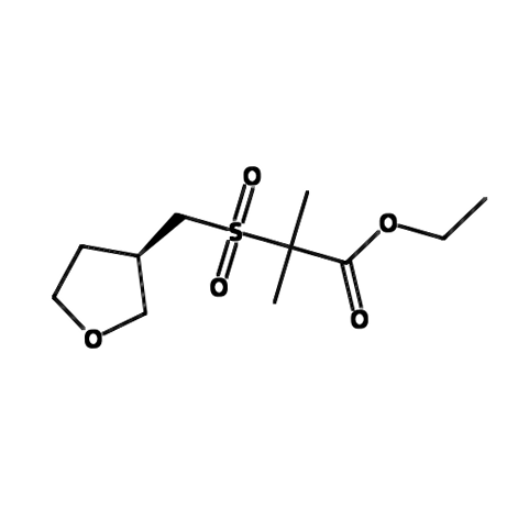 CCOC(=O)C(C)(C)S(=O)(=O)C[C@@H]1CCOC1